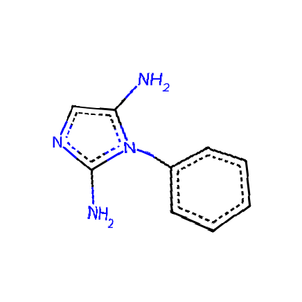 Nc1cnc(N)n1-c1ccccc1